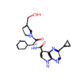 O=C(N[C@@H](C(=O)N1CCC(CO)C1)C1CCCCC1)c1c[nH]c2ncc(C3CC3)nc12